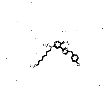 CCCCCCCCN(C)c1ccc(N)c(-c2nc(Cc3ccc(Cl)cc3)cs2)c1